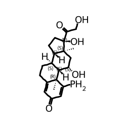 C[C@]12C(P)=CC(=O)C=C1CC[C@@H]1[C@@H]2[C@@H](O)C[C@@]2(C)[C@H]1CC[C@]2(O)C(=O)CO